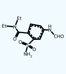 CCN(CC)C(=O)c1ccc(NC=O)cc1S(N)(=O)=O